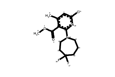 COC(=O)c1c(C)cc(Cl)nc1N1CCCC(F)(F)CC1